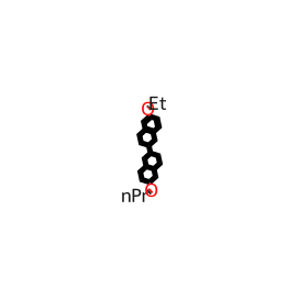 CCCOC1CCC2CC(C3CCc4cc(OCC)ccc4C3)CCC2C1